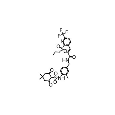 CCCS(=O)(=O)c1nc(C(F)(F)F)ccc1C=CC(=O)NCc1ccc(NS(=O)(=O)C2C(=O)CC(C)(C)CC2=O)c(C)c1